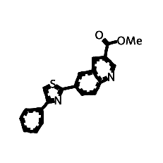 COC(=O)c1cnc2ccc(-c3nc(-c4ccccc4)cs3)cc2c1